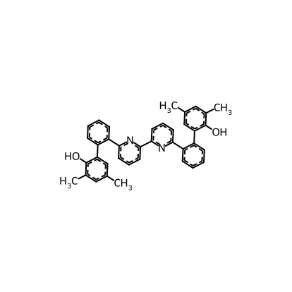 Cc1cc(C)c(O)c(-c2ccccc2-c2cccc(-c3cccc(-c4ccccc4-c4cc(C)cc(C)c4O)n3)n2)c1